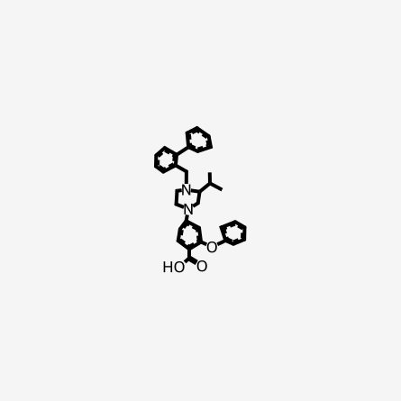 CC(C)C1CN(c2ccc(C(=O)O)c(Oc3ccccc3)c2)CCN1Cc1ccccc1-c1ccccc1